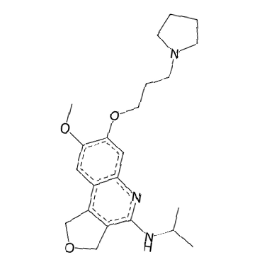 COc1cc2c3c(c(NC(C)C)nc2cc1OCCCN1CCCC1)COC3